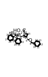 CC(C)(C)[Si](OC[C@@H]1[C@@H](COCc2ccccc2)CN1C(=O)O)(c1ccccc1)c1ccccc1